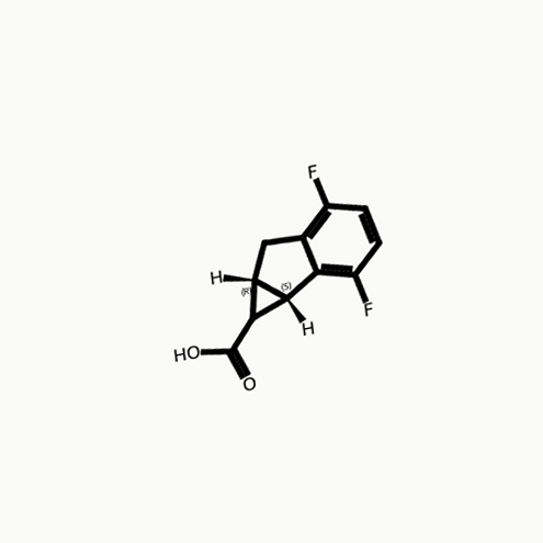 O=C(O)C1[C@H]2c3c(F)ccc(F)c3C[C@@H]12